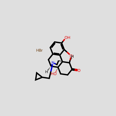 Br.O=C1CC[C@@]2(O)[C@H]3Cc4ccc(O)c5c4[C@@]2(CCN3CC2CC2)[C@H]1O5